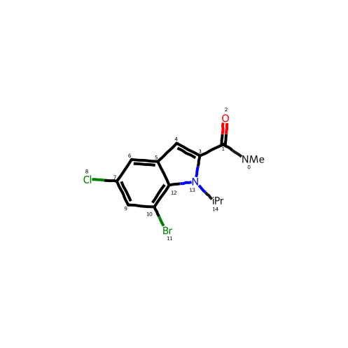 CNC(=O)c1cc2cc(Cl)cc(Br)c2n1C(C)C